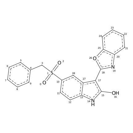 O=S(=O)(Cc1ccccc1)c1ccc2[nH]c(O)c(-c3nc4ccccc4o3)c2c1